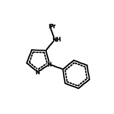 CC(C)Nc1ccnn1-c1ccccc1